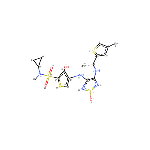 CC(C)c1csc([C@H](Nc2n[s+]([O-])nc2Nc2csc(S(=O)(=O)N(C)C3CC3)c2O)C(C)C)c1